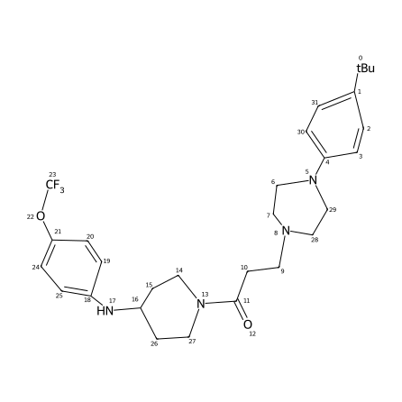 CC(C)(C)c1ccc(N2CCN(CCC(=O)N3CCC(Nc4ccc(OC(F)(F)F)cc4)CC3)CC2)cc1